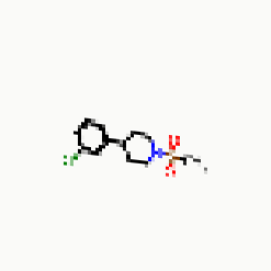 CS(=O)(=O)N1CCC(c2cccc(Cl)c2)CC1